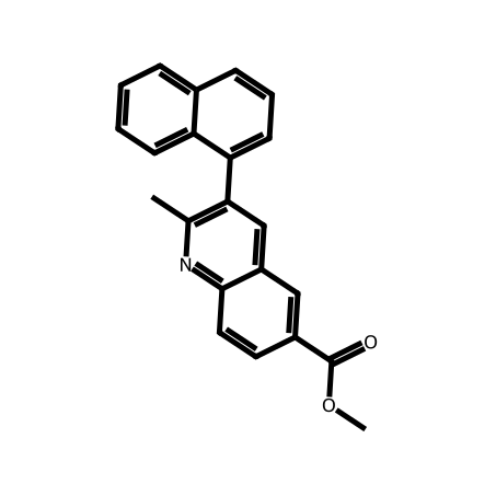 COC(=O)c1ccc2nc(C)c(-c3cccc4ccccc34)cc2c1